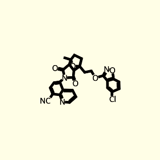 CC12CCC(CCOc3noc4ccc(Cl)cc34)(O1)C1C(=O)N(c3ccc(C#N)c4ncccc34)C(=O)C12